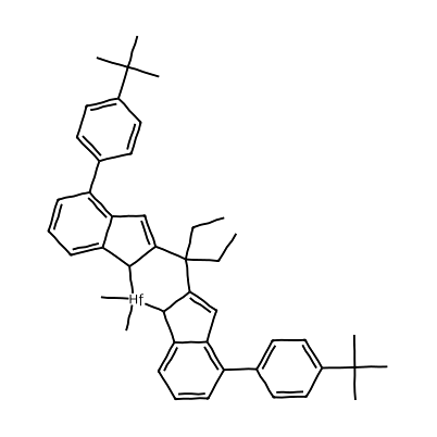 CCC1(CC)C2=Cc3c(-c4ccc(C(C)(C)C)cc4)cccc3[CH]2[Hf]([CH3])([CH3])[CH]2C1=Cc1c(-c3ccc(C(C)(C)C)cc3)cccc12